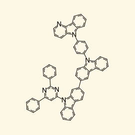 c1ccc(-c2cc(-n3c4ccccc4c4ccc(-c5ccc6c(c5)c5ccccc5n6-c5ccc(-n6c7ccccc7c7ncccc76)cc5)cc43)nc(-c3ccccc3)n2)cc1